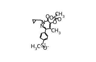 Cc1c(-c2ccc([S+](C)[O-])cc2)nn(CC2CC2)c(=O)c1OS(C)(=O)=O